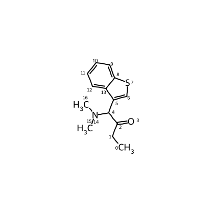 CCC(=O)C(c1csc2ccccc12)N(C)C